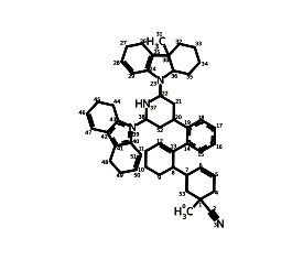 CC1(C#N)CC=CC(C2CCCC=C2c2ccccc2C2CC(N3C4=C(CCC=C4)C4(C)CCCCC34)NC(n3c4c(c5c3CCC=C5)CCC=C4)C2)C1